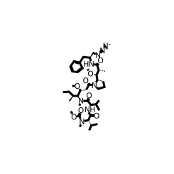 CC[C@H](C)[C@@H]([C@@H](CC(=O)N1CCC[C@H]1[C@H](OC)[C@@H](C)C(=O)N[C@H](CN=[N+]=[N-])Cc1ccccc1)OC)N(C)C(=O)[C@@H](NC(=O)[C@H](C(C)C)N(C)C(=O)OC)C(C)C